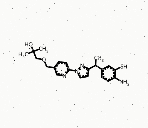 CC(c1ccc(N)c(S)c1)c1ccn(-c2ccc(COCC(C)(C)O)cn2)n1